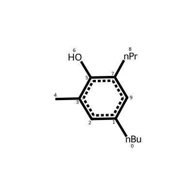 CCCCc1cc(C)c(O)c(CCC)c1